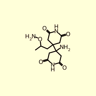 CC(CC1(C2(N)CC(=O)NC(=O)C2)CC(=O)NC(=O)C1)ON